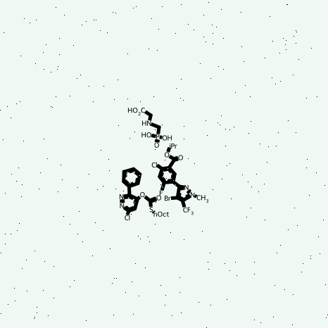 CC(C)OC(=O)c1cc(-c2nn(C)c(C(F)(F)F)c2Br)c(F)cc1Cl.CCCCCCCCSC(=O)Oc1cc(Cl)nnc1-c1ccccc1.O=C(O)CNCP(=O)(O)O